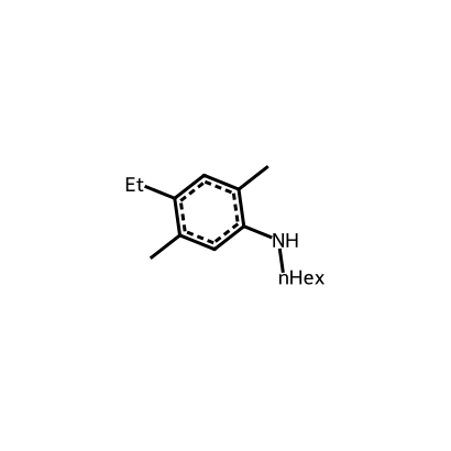 CCCCCCNc1cc(C)c(CC)cc1C